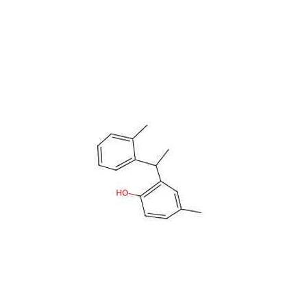 Cc1ccc(O)c(C(C)c2ccccc2C)c1